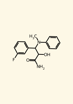 CN(c1ccccc1)C(c1cccc(F)c1)C(O)C(N)=O